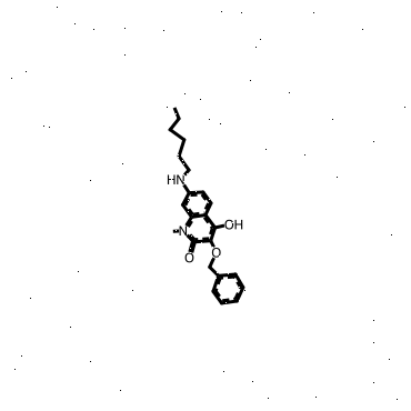 CCCCCCNc1ccc2c(O)c(OCc3ccccc3)c(=O)n(C)c2c1